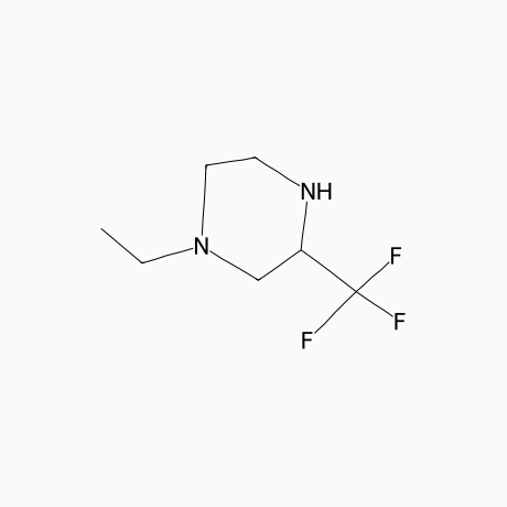 CCN1CCNC(C(F)(F)F)C1